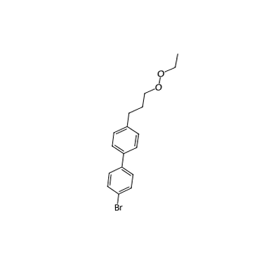 CCOOCCCc1ccc(-c2ccc(Br)cc2)cc1